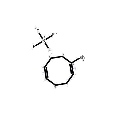 F[B-](F)(F)F.[Rh]/[C]1=C/CC/C=C\CC1